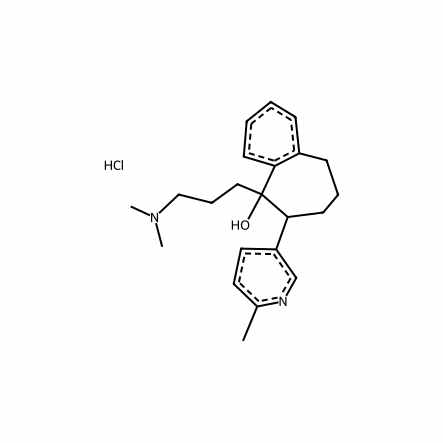 Cc1ccc(C2CCCc3ccccc3C2(O)CCCN(C)C)cn1.Cl